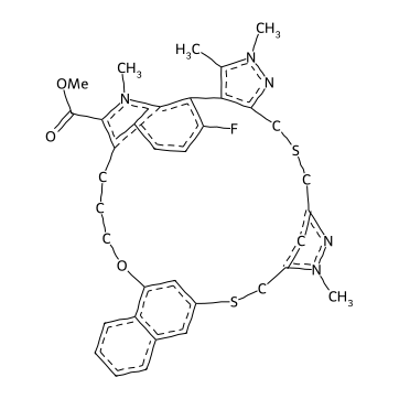 COC(=O)c1c2c3ccc(F)c(c3n1C)-c1c(nn(C)c1C)CSCc1cc(n(C)n1)CSc1cc(c3ccccc3c1)OCCC2